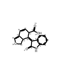 O=C1Nc2ccccc2C1=C1C(C(=O)O)C=CC2=COCC21